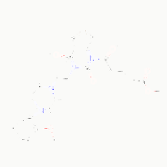 COC(=O)CCCC(=O)n1c(=O)n(CCN2CCN(c3ccccc3OC)CC2)c(=O)c2cscc21